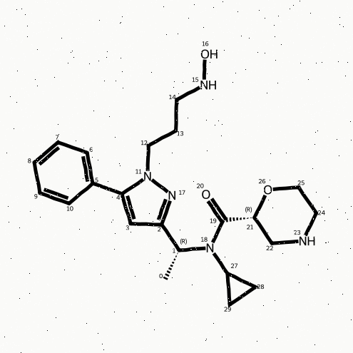 C[C@H](c1cc(-c2ccccc2)n(CCCNO)n1)N(C(=O)[C@H]1CNCCO1)C1CC1